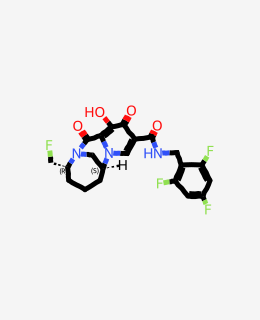 O=C(NCc1c(F)cc(F)cc1F)c1cn2c(c(O)c1=O)C(=O)N1C[C@@H]2CCC[C@@H]1CF